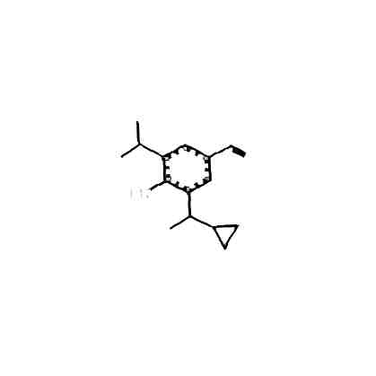 CC(C)c1cc(C=O)cc(C(C)C2CC2)c1N